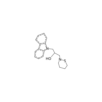 OC(CN1CCCCS1)Cn1c2ccccc2c2ccccc21